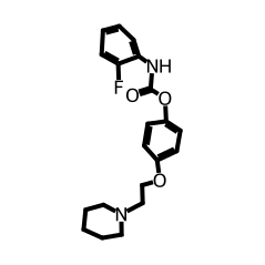 O=C(Nc1ccccc1F)Oc1ccc(OCCN2CCCCC2)cc1